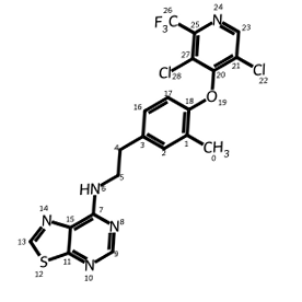 Cc1cc(CCNc2ncnc3scnc23)ccc1Oc1c(Cl)cnc(C(F)(F)F)c1Cl